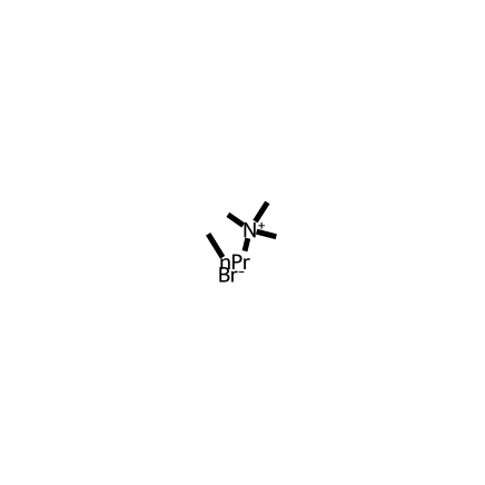 CCCC.C[N+](C)(C)C.[Br-]